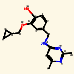 Cc1cc(NCc2ccc(O)c(OCC3CC3)c2)nc(C)n1